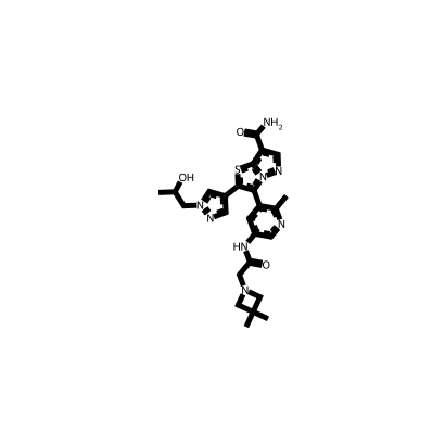 Cc1ncc(NC(=O)CN2CC(C)(C)C2)cc1-c1c(-c2cnn(CC(C)O)c2)sc2c(C(N)=O)cnn12